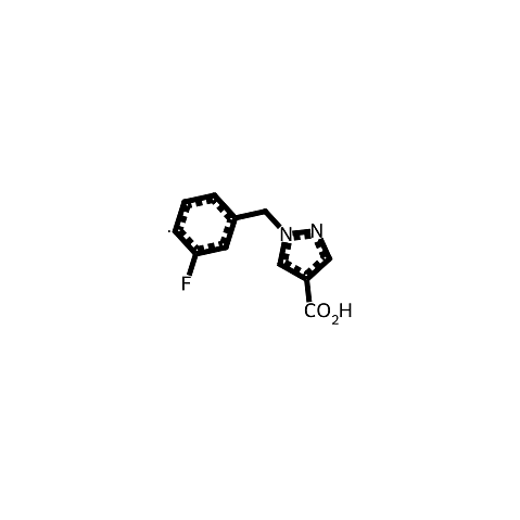 O=C(O)c1cnn(Cc2cc[c]c(F)c2)c1